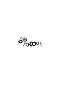 Cc1ccc(S(=O)(=O)C2CCN(C(=O)c3cnoc3-c3ccccc3Cl)C2)cc1